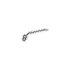 OCCCCCCCCCCCCCC#Cc1ccc2ccccc2n1